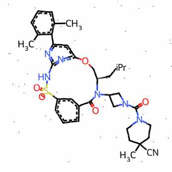 Cc1cccc(C)c1-c1cc2nc(n1)NS(=O)(=O)c1cccc(c1)C(=O)N(C1CN(C(=O)N3CCC(C)(C#N)CC3)C1)[C@H](CC(C)C)CO2